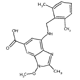 COn1c(C)nc2c(NCc3c(C)cccc3C)cc(C(=O)O)cc21